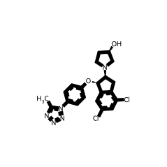 Cc1nnnn1-c1ccc(O[C@H]2c3cc(Cl)cc(Cl)c3C[C@@H]2N2CC[C@@H](O)C2)cc1